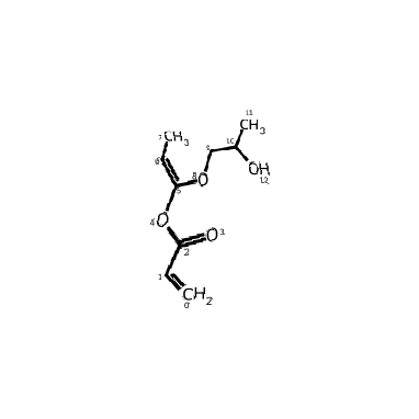 C=CC(=O)OC(=CC)OCC(C)O